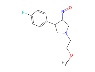 COCCN1CC(N=O)C(c2ccc(F)cc2)C1